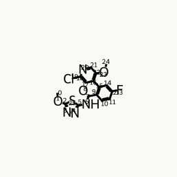 COc1nnc(NC(=O)c2ccc(F)cc2-c2cc(Cl)ncc2OC)s1